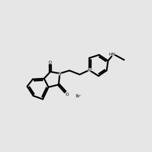 CNc1cc[n+](CCN2C(=O)c3ccccc3C2=O)cc1.[Br-]